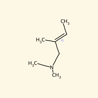 C/C=C(\C)CN(C)C